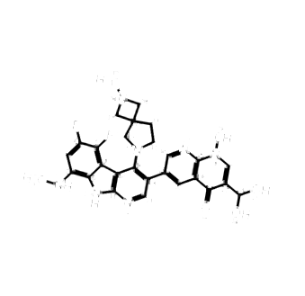 CNc1cc(F)c(F)c2c1[nH]c1ncc(-c3cnc4c(c3)c(=O)c(C(O)O)cn4C)c(N3CCC4(CN(C)C4)C3)c12